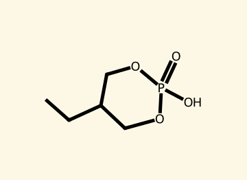 CCC1COP(=O)(O)OC1